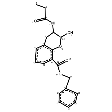 CCC(=O)NC1Cc2cccc(C(=O)OCc3ccccc3)c2OB1O